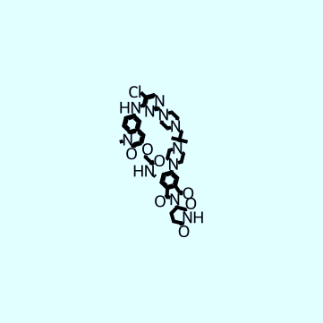 CNC(=O)COc1cc2cc(Nc3nc(N4CCN(CC(C)(C)N5CCN(c6ccc7c(c6)C(=O)N(C6CCC(=O)NC6=O)C7=O)CC5)CC4)ncc3Cl)ccc2n(C)c1=O